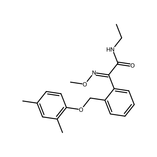 CCNC(=O)/C(=N/OC)c1ccccc1COc1ccc(C)cc1C